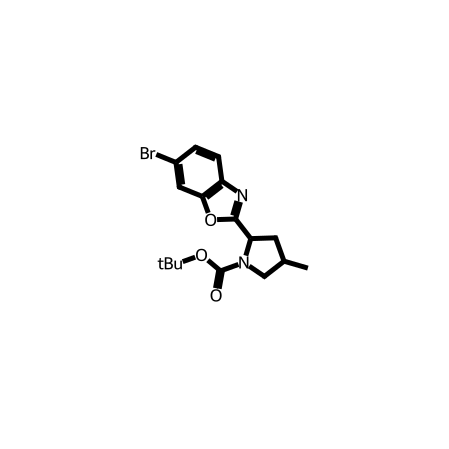 CC1CC(c2nc3ccc(Br)cc3o2)N(C(=O)OC(C)(C)C)C1